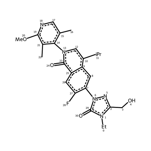 CCn1c(CO)nn(-c2cc3c(C(C)C)cn(-c4c(C)cnc(OC)c4C)c(=O)c3cc2F)c1=O